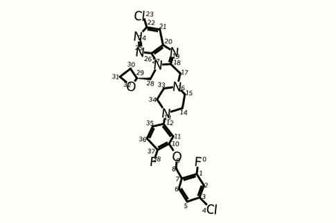 Fc1cc(Cl)ccc1COc1cc(N2CCN(Cc3nc4cc(Cl)nnc4n3C[C@@H]3CCO3)CC2)ccc1F